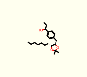 CCCCCCC[C@H]1OC(C)(C)O[C@@H]1Cc1ccc(C(O)CC)cc1